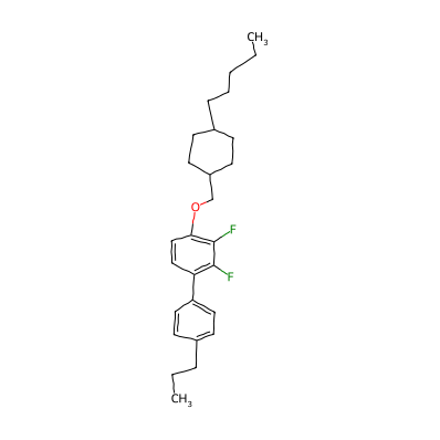 CCCCCC1CCC(COc2ccc(-c3ccc(CCC)cc3)c(F)c2F)CC1